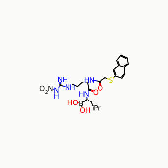 CC(C)C[C@H](NC(=O)[C@H](CCCNC(=N)N[N+](=O)[O-])NC(=O)CSc1ccc2ccccc2c1)B(O)O